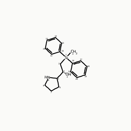 C[Si](C[C@H](O)C1CCCN1)(c1ccccc1)c1ccccc1